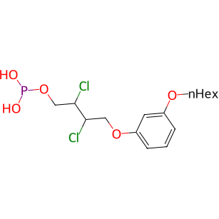 CCCCCCOc1cccc(OCC(Cl)C(Cl)COP(O)O)c1